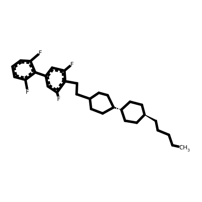 CCCCC[C@H]1CC[C@H](C2CCC(CCc3c(F)cc(-c4c(F)cccc4F)cc3F)CC2)CC1